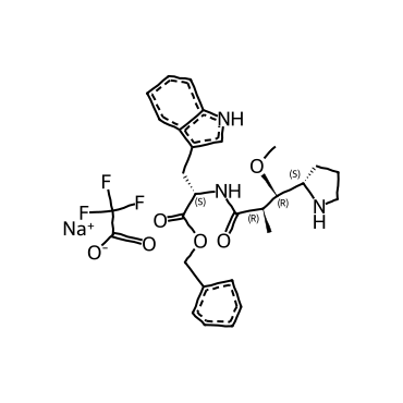 CO[C@@H]([C@@H]1CCCN1)[C@@H](C)C(=O)N[C@@H](Cc1c[nH]c2ccccc12)C(=O)OCc1ccccc1.O=C([O-])C(F)(F)F.[Na+]